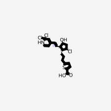 O=C(O)c1ccc(CCC[C@@H]2[C@@H](/C=C/C3=CC(Cl)(Cl)NC=C3)[C@H](O)C[C@H]2Cl)s1